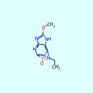 CCN1c2nc(nc3nc(OC)[nH]c23)[PH]1=O